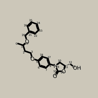 CC(CCOc1ccc(N2C[C@H](CO)OC2=O)cc1)OCc1ccccc1